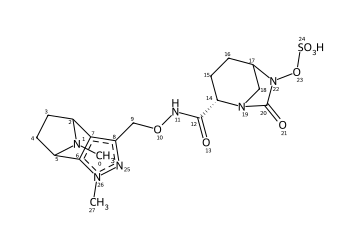 CN1C2CCC1c1c2c(CONC(=O)[C@@H]2CCC3CN2C(=O)N3OS(=O)(=O)O)nn1C